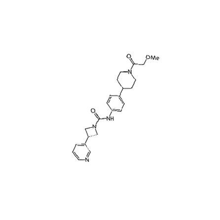 COCC(=O)N1CCC(c2ccc(NC(=O)N3CC(c4cccnc4)C3)cc2)CC1